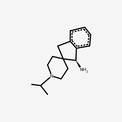 CC(C)N1CCC2(CC1)Cc1ccccc1[C@H]2N